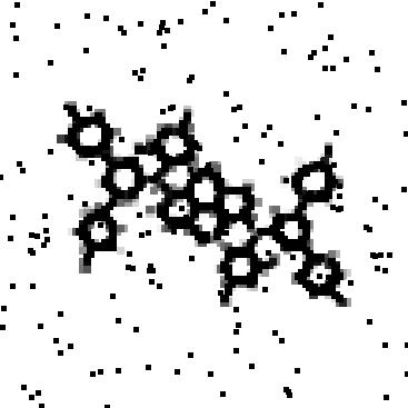 Cc1ccc(-c2cc(-c3ccc(C)cc3)cc(N(c3ccc(C)cc3C)c3ccc4ccc5c(N(c6cc(-c7ccc(C)cc7)cc(-c7ccc(C)cc7)c6)c6ccc(C)cc6C)ccc6ccc3c4c65)c2)cc1